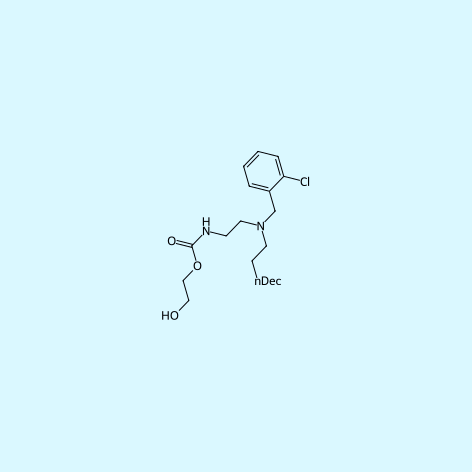 CCCCCCCCCCCCN(CCNC(=O)OCCO)Cc1ccccc1Cl